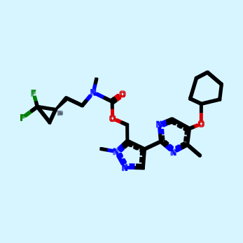 Cc1nc(-c2cnn(C)c2COC(=O)N(C)CC[C@H]2CC2(F)F)ncc1OC1CCCCC1